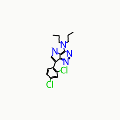 CCCN(CCC)c1ncnc2c(-c3ccc(Cl)cc3Cl)cn(C)c12